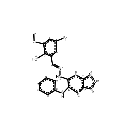 COc1cc(Br)cc(C=NNc2nc3nonc3nc2Nc2ccccc2)c1O